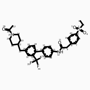 CCS(=O)(=O)c1ccc(CC(=O)Nc2ccc(-c3ccc(CC4CCN(C(C)=O)CC4)cc3C(F)(F)F)cc2)cc1